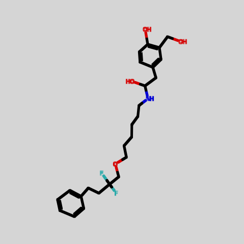 OCc1cc(CC(O)NCCCCCCOCC(F)(F)CCc2ccccc2)ccc1O